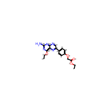 CCOC(=O)COc1ccc(-c2cnc3nc(N)nc(OCC)c3n2)cc1